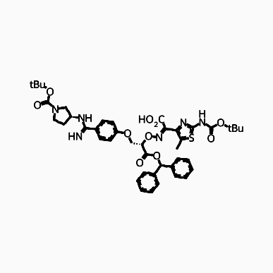 Cc1sc(NC(=O)OC(C)(C)C)nc1/C(=N/O[C@@H](COc1ccc(C(=N)N[C@H]2CCN(C(=O)OC(C)(C)C)C2)cc1)C(=O)OC(c1ccccc1)c1ccccc1)C(=O)O